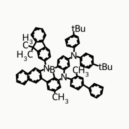 Cc1cc2c3c(c1)N(c1ccc(-c4ccccc4)cc1C)c1cc(N(c4ccc(C(C)(C)C)cc4)c4ccc(C(C)(C)C)cc4)ccc1B3N(c1ccc3c(c1)C(C)(C)c1ccccc1-3)c1cc3ccccc3cc1-2